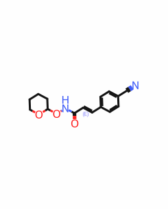 N#Cc1ccc(/C=C/C(=O)NOC2CCCCO2)cc1